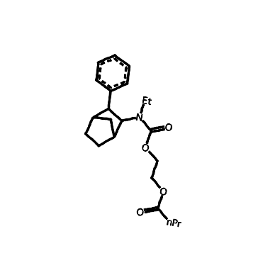 CCCC(=O)OCCOC(=O)N(CC)C1C2CCC(C2)C1c1ccccc1